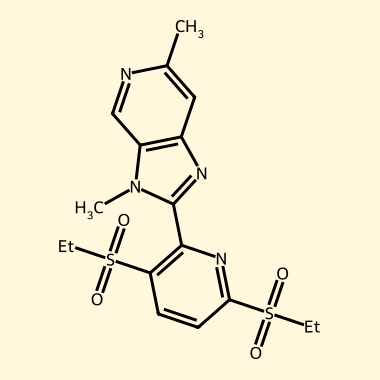 CCS(=O)(=O)c1ccc(S(=O)(=O)CC)c(-c2nc3cc(C)ncc3n2C)n1